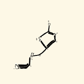 O=CNCc1cnc(Cl)s1